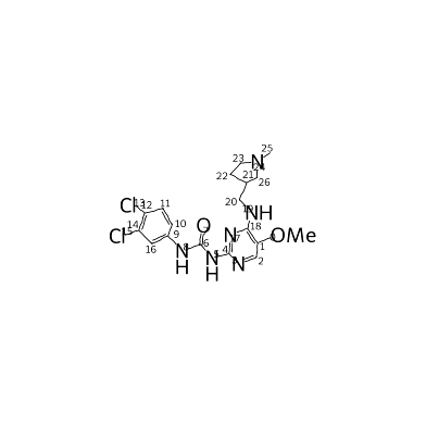 COc1cnc(NC(=O)Nc2ccc(Cl)c(Cl)c2)nc1NCC1CCN(C)C1